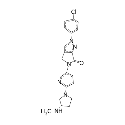 CN[C@H]1CCN(c2ccc(N3Cc4cn(-c5ccc(Cl)cc5)nc4C3=O)cn2)C1